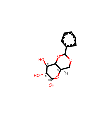 O[C@H]1[C@@H](O)O[C@@H]2COC(c3ccccc3)OC2[C@@H]1O